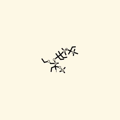 CCOC[Si](C)(OC(C)(CC)C(C)(CC)[Si](C)(C)OC(C)(CC)[Si](C)(C)C)C(I)(CC)O[Si](C)(C)C